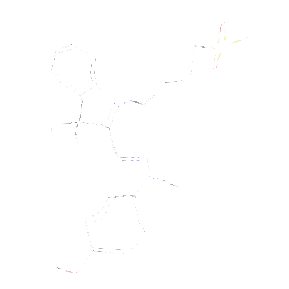 COc1ccc(N(C)/N=C/C2=[N+](CCCCS(=O)(=O)[O-])c3ccccc3C2(C)C)cc1